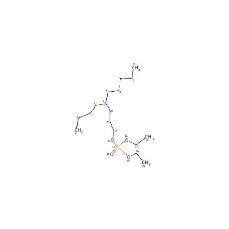 CCCCCN(CCCC)CCCOP(=O)(OCC)OCC